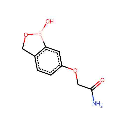 NC(=O)COc1ccc2c(c1)B(O)OC2